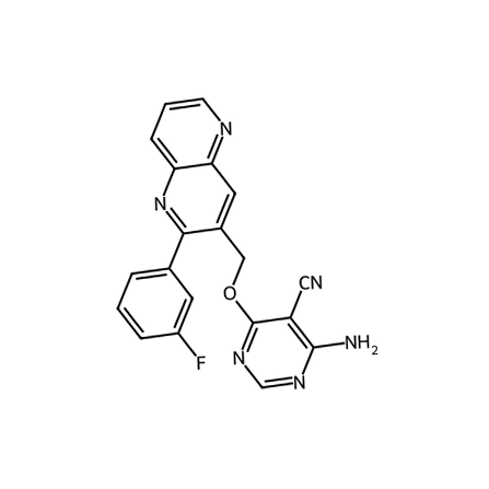 N#Cc1c(N)ncnc1OCc1cc2ncccc2nc1-c1cccc(F)c1